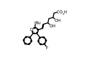 CC(C)(C)c1oc(-c2ccccc2)c(-c2ccc(F)cc2)c1C=CC(O)CC(O)CC(=O)O